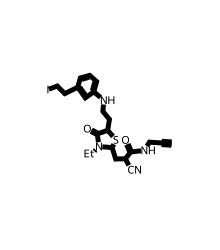 C#CCNC(=O)C(C#N)CC1SC(CCNc2cccc(CCI)c2)C(=O)N1CC